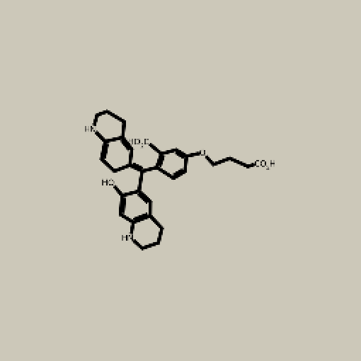 O=C(O)CCCOc1ccc(/C(=C2\C=C3CCCNC3=CC2)c2cc3c(cc2O)NCCC3)c(C(=O)O)c1